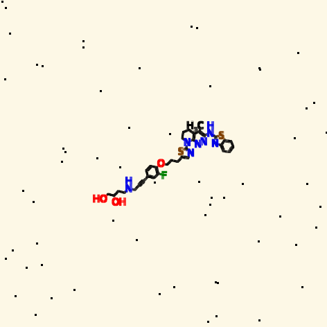 Cc1c(Nc2nc3ccccc3s2)nnc2c1CCCN2c1ncc(CCCOc2ccc(C#CCNCC[C@H](O)CO)cc2F)s1